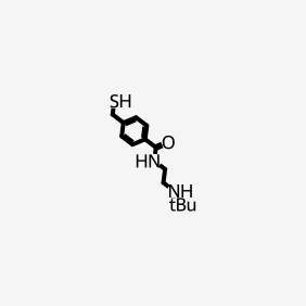 CC(C)(C)NCCNC(=O)c1ccc(CS)cc1